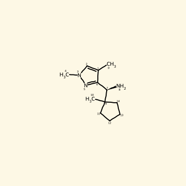 Cc1cn(C)nc1[C@@H](N)C1(C)CCCC1